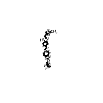 Cn1ncc(CC(=O)NC2CCC(CCN3CCc4nc(OCC(F)(F)C(F)F)sc4CC3)CC2)n1